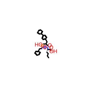 CCCC[C@H](NC(=O)C(Cc1ccc(-c2ccccc2)cc1)CP(=O)(O)CCc1ccccc1)C(=O)O